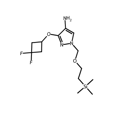 C[Si](C)(C)CCOCn1cc(N)c(OC2CC(F)(F)C2)n1